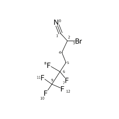 N#CC(Br)CCC(F)(F)C(F)(F)F